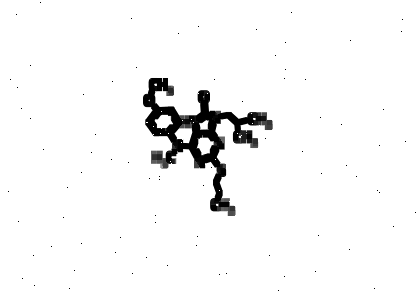 CCCSc1nc(N(C)c2ccc(OC)cc2)c2[nH]c(=O)n(CC(C)C)c2n1